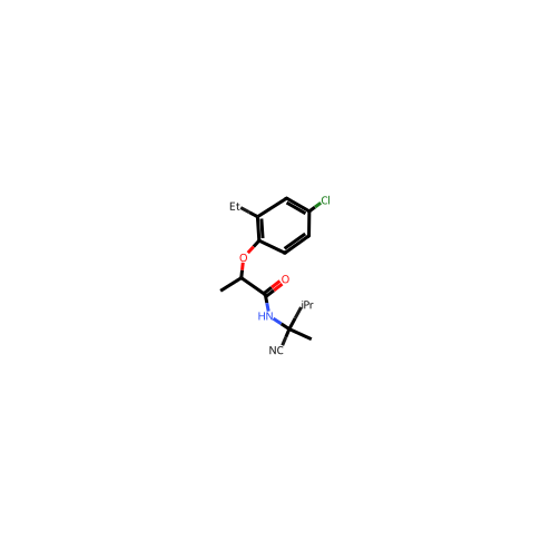 CCc1cc(Cl)ccc1OC(C)C(=O)NC(C)(C#N)C(C)C